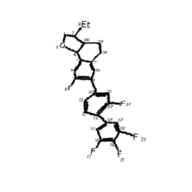 CCC1COC2c3cc(F)c(-c4ccc(-c5cc(F)c(F)c(F)c5)c(F)c4)cc3CCC12